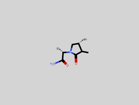 CCC[C@H]1CN([C@@H](CC)C(N)=O)C(=O)C1C